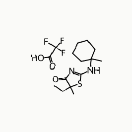 CCC1(C)SC(NC2(C)CCCCC2)=NC1=O.O=C(O)C(F)(F)F